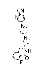 N#Cc1ccc(N2CCC(N3CCC(c4cc5cccc(F)c5c(=O)[nH]4)C3)CC2)cn1